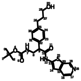 CC(C)(C)OC(=O)NCC(C(=O)Nc1cc2ccncc2s1)c1ccc(CCCO)cc1